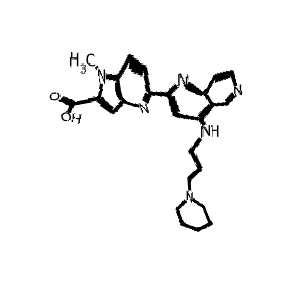 Cn1c(C(=O)O)cc2nc(-c3cc(NCCCN4CCCCC4)c4cnccc4n3)ccc21